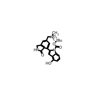 CN(C)Cc1cc2c(c(-c3cc4c(O)cccc4n3C(=O)OC(C)(C)C)c1)C(=O)NC2